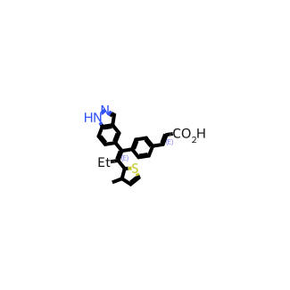 CC/C(=C(/c1ccc(/C=C/C(=O)O)cc1)c1ccc2[nH]ncc2c1)C1SC=CC1C